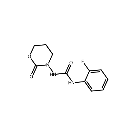 O=C(Nc1ccccc1F)NN1CCCOC1=O